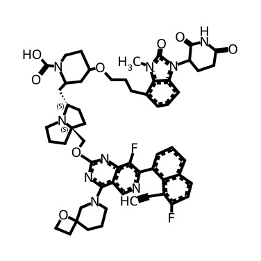 C#Cc1c(F)ccc2cccc(-c3ncc4c(N5CCCC6(CCO6)C5)nc(OC[C@@]56CCCN5[C@H](CC5CC(OCCCc7cccc8c7n(C)c(=O)n8C7CCC(=O)NC7=O)CCN5C(=O)O)CC6)nc4c3F)c12